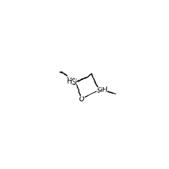 C[SiH]1C[SiH](C)O1